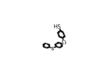 Sc1ccc(Oc2ccc(Sc3ccccc3)cc2)cc1